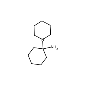 NC1(N2CCCCC2)CCCCC1